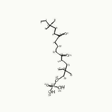 CCC(C)(C)CCC(=O)CCCC(=O)CCC(C)(C)COP(=O)(O)O